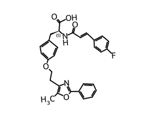 Cc1oc(-c2ccccc2)nc1CCOc1ccc(C[C@H](NC(=O)C=Cc2ccc(F)cc2)C(=O)O)cc1